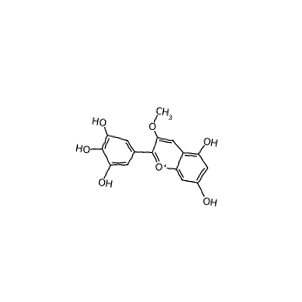 COc1cc2c(O)cc(O)cc2[o+]c1-c1cc(O)c(O)c(O)c1